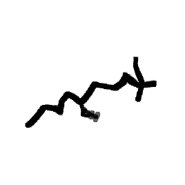 CCCC[C@@H](O)CCCC(C)(C)C